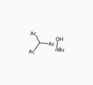 CC(=O)C(C(C)=O)C(C)=O.CCCCO